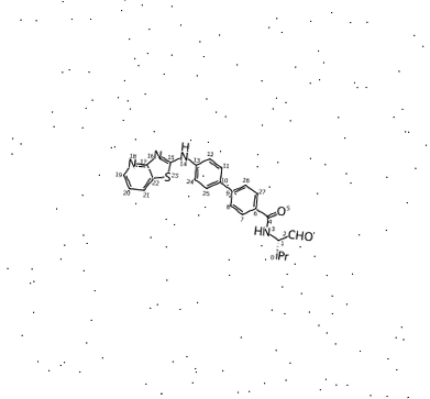 CC(C)[C@@H](C=O)NC(=O)c1ccc(-c2ccc(Nc3nc4ncccc4s3)cc2)cc1